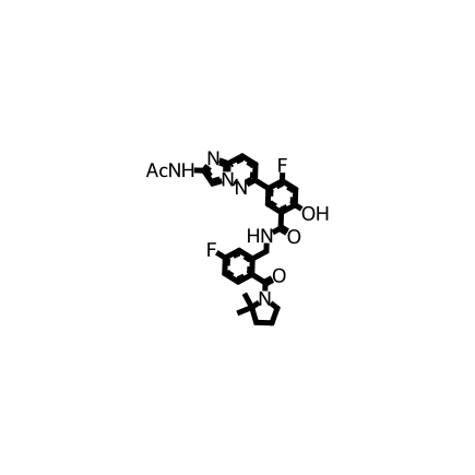 CC(=O)Nc1cn2nc(-c3cc(C(=O)NCc4cc(F)ccc4C(=O)N4CCCC4(C)C)c(O)cc3F)ccc2n1